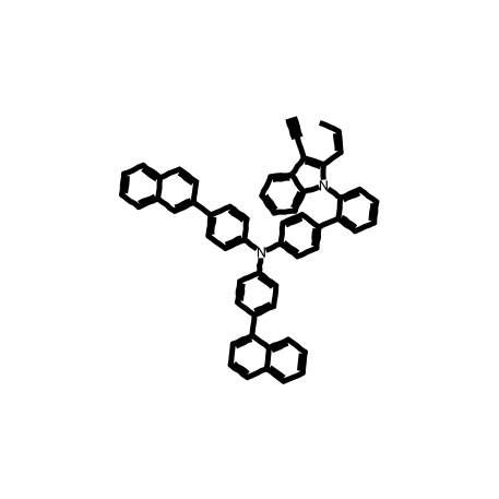 C#Cc1c(/C=C\C)n(-c2ccccc2-c2ccc(N(c3ccc(-c4ccc5ccccc5c4)cc3)c3ccc(-c4cccc5ccccc45)cc3)cc2)c2ccccc12